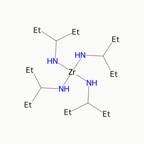 CCC(CC)[NH][Zr]([NH]C(CC)CC)([NH]C(CC)CC)[NH]C(CC)CC